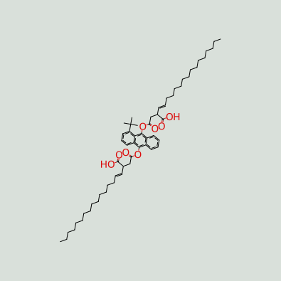 CCCCCCCCCCCCCCC=CC(CC(=O)Oc1c2ccccc2c(OC(=O)CC(C=CCCCCCCCCCCCCCC)C(=O)O)c2c(C(C)(C)C)cccc12)C(=O)O